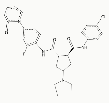 CCN(CC)C1C[C@H](C(=O)Nc2ccc(Cl)cc2)[C@@H](C(=O)Nc2ccc(-n3ccccc3=O)cc2F)C1